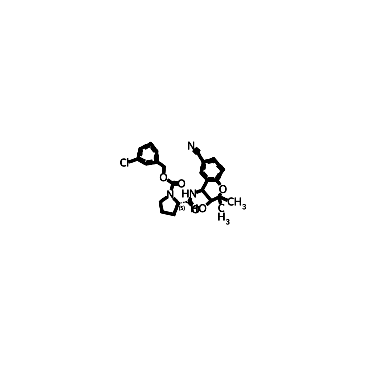 CC1(C)Oc2ccc(C#N)cc2C(NC(=O)[C@@H]2CCCN2C(=O)OCc2cccc(Cl)c2)C1O